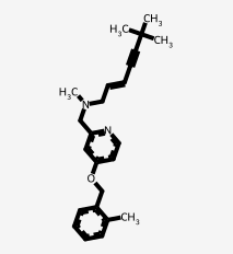 Cc1ccccc1COc1ccnc(CN(C)C/C=C/C#CC(C)(C)C)c1